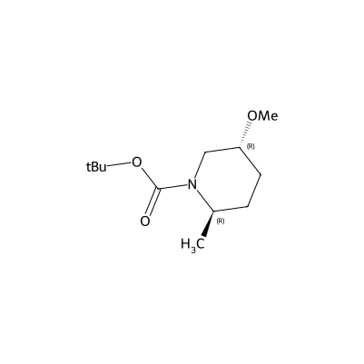 CO[C@@H]1CC[C@@H](C)N(C(=O)OC(C)(C)C)C1